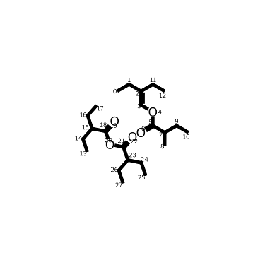 CCC(=COC(=O)C(C)CC)CC.CCC(CC)C(=O)OC(=O)C(CC)CC